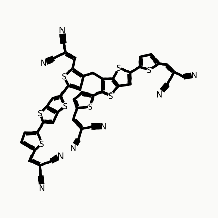 N#CC(C#N)=Cc1ccc(-c2cc3sc(-c4cc(Cc5c(-c6ccc(C=C(C#N)C#N)s6)sc6cc(-c7ccc(C=C(C#N)C#N)s7)sc56)c(C=C(C#N)C#N)s4)cc3s2)s1